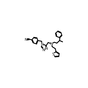 CC(CCN(CCc1cccs1)Cc1nncn1Cc1ccc(C#N)cc1)c1ccccc1